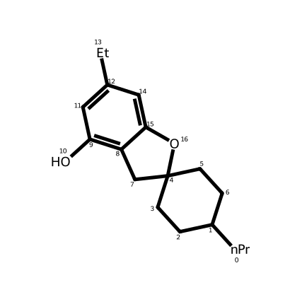 CCCC1CCC2(CC1)Cc1c(O)cc(CC)cc1O2